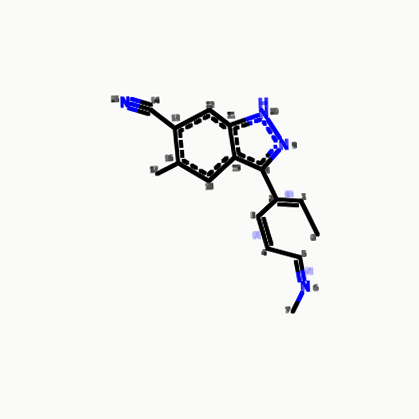 C\C=C(/C=C\C=N/C)c1n[nH]c2cc(C#N)c(C)cc12